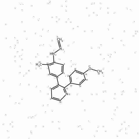 C=NNc1ccc(-c2cccnc2-c2ccc(OC)cc2)cc1C